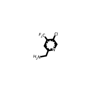 NCc1cc(C(F)(F)F)c(Cl)cn1